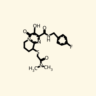 CN(C)C(=O)CSC1CCCn2c1nc(C(=O)NCc1ccc(F)cc1)c(O)c2=O